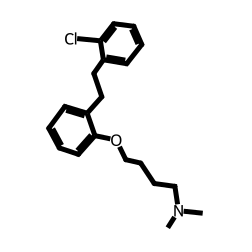 CN(C)CCCCOc1ccccc1CCc1ccccc1Cl